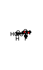 O=C(CCOc1ccc2c(c1)C(c1ccc(F)cc1)=C(CN1CCCC1)CO2)NO